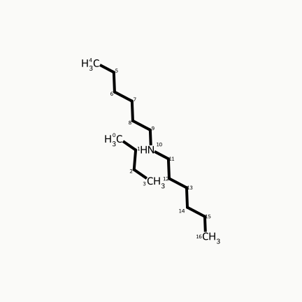 CCCC.CCCCCCNCCCCCC